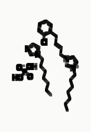 CCCCCCC[n+]1ccn(CC=CCc2ccccc2Cl)c1.CCCCCCCn1ccnc1.O=P([O-])(O)O